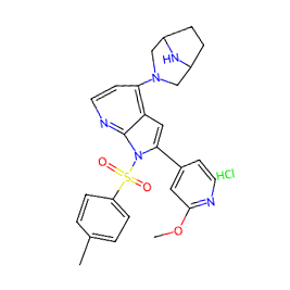 COc1cc(-c2cc3c(N4CC5CCC(C4)N5)ccnc3n2S(=O)(=O)c2ccc(C)cc2)ccn1.Cl